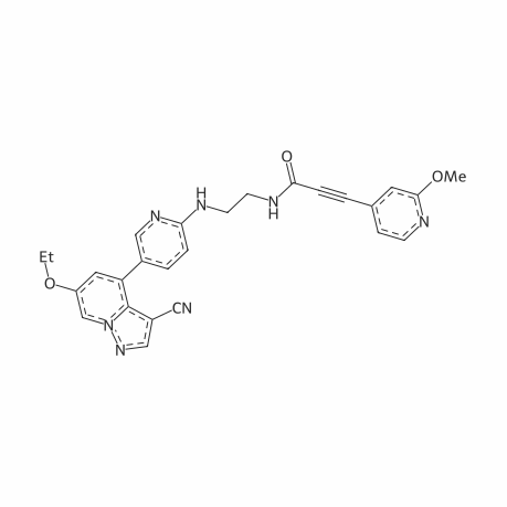 CCOc1cc(-c2ccc(NCCNC(=O)C#Cc3ccnc(OC)c3)nc2)c2c(C#N)cnn2c1